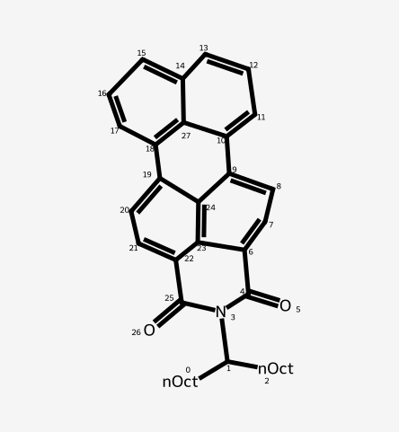 CCCCCCCCC(CCCCCCCC)N1C(=O)c2ccc3c4cccc5cccc(c6ccc(c2c36)C1=O)c54